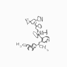 CC(=Cc1cnccc1C(=O)NCC(=O)N1CC(F)(F)CC1C#N)c1cnn(C)c1